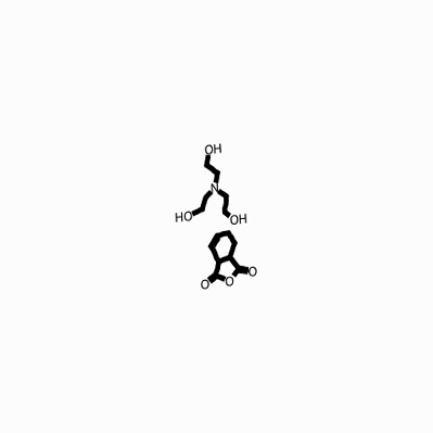 O=C1OC(=O)C2CCC=CC12.OCCN(CCO)CCO